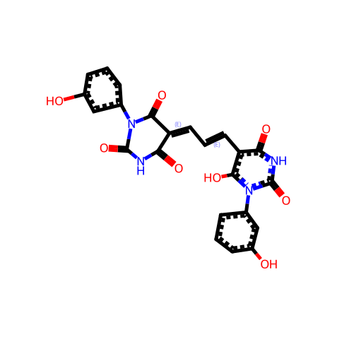 O=C1NC(=O)N(c2cccc(O)c2)C(=O)/C1=C/C=C/c1c(O)n(-c2cccc(O)c2)c(=O)[nH]c1=O